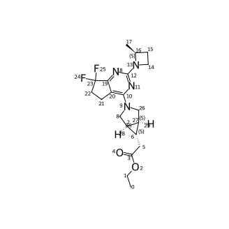 CCOC(=O)C[C@@H]1[C@H]2CN(c3nc(N4CC[C@@H]4C)nc4c3CCC4(F)F)C[C@@H]12